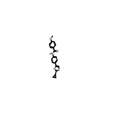 COc1ccc(C(=O)Nc2ccc(-c3csc(C4CC4)n3)cc2)cc1